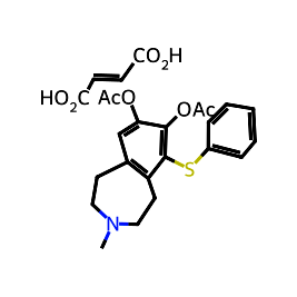 CC(=O)Oc1cc2c(c(Sc3ccccc3)c1OC(C)=O)CCN(C)CC2.O=C(O)C=CC(=O)O